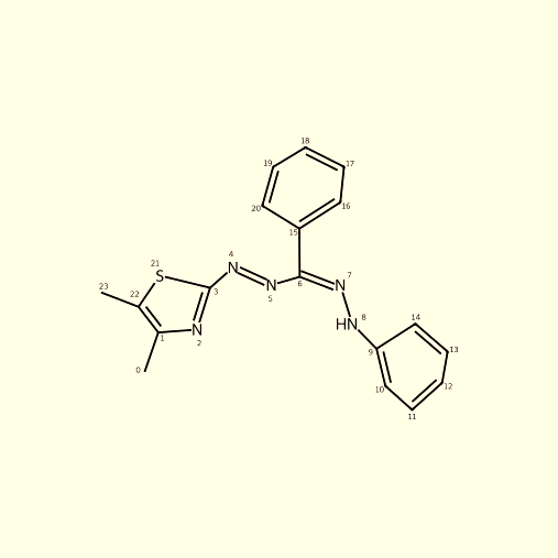 Cc1nc(N=NC(=NNc2ccccc2)c2ccccc2)sc1C